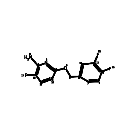 Nc1nc(OCc2ccc(F)c(F)c2)ncc1F